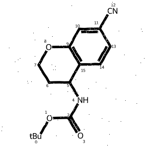 CC(C)(C)OC(=O)NC1CCOc2cc(C#N)ccc21